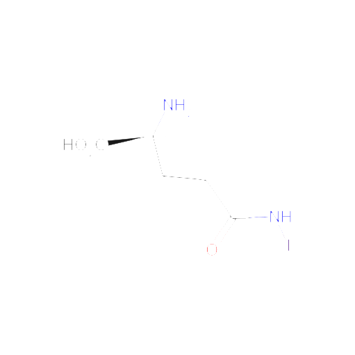 N[C@@H](CCC(=O)NI)C(=O)O